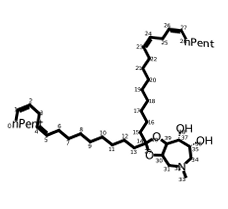 CCCCC/C=C\C/C=C\CCCCCCCCC1(CCCCCCCC/C=C\C/C=C\CCCCC)OC2CN(C)C[C@@H](O)[C@@H](O)C2O1